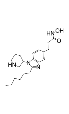 CCCCCCc1nc2cc(/C=C/C(=O)NO)ccc2n1C1CCCNC1